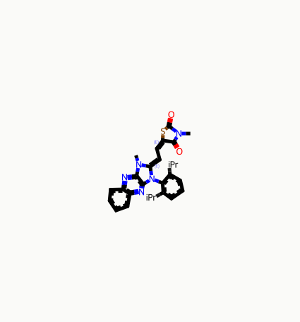 CC(C)c1cccc(C(C)C)c1N1/C(=C/C=C2/SC(=O)N(C)C2=O)N(C)c2nc3ccccc3nc21